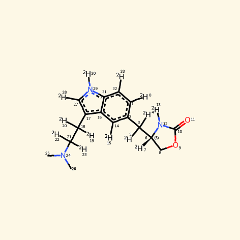 [2H]c1c(C([2H])([2H])[C@@]2([2H])COC(=O)N2[2H])c([2H])c2c(C([2H])([2H])C([2H])([2H])N(C)C)c([2H])n([2H])c2c1[2H]